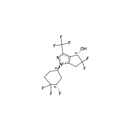 O[C@H]1c2c(C(F)(F)F)nn([C@@H]3CCC(F)(F)[C@@H](F)C3)c2CC1(F)F